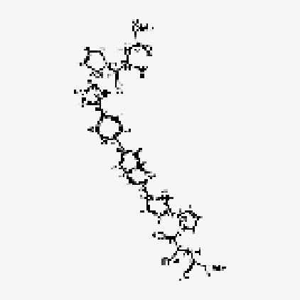 COC(=O)NC(C(=O)N1CC=C[C@H]1c1ncc(-c2cc3sc(-c4ccc(-c5cnc([C@@H]6C=CCN6C(=O)[C@@H](NC(=O)OC)C(C)C)[nH]5)cc4)cc3s2)[nH]1)C(C)C